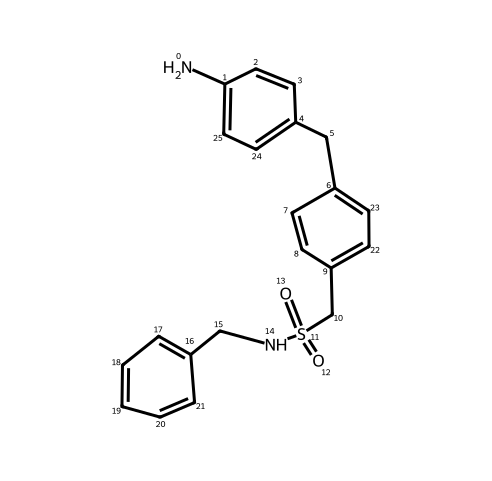 Nc1ccc(Cc2ccc(CS(=O)(=O)NCc3ccccc3)cc2)cc1